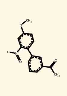 COc1ccc(-c2cccc(C(C)=O)c2)c([N+](=O)[O-])c1